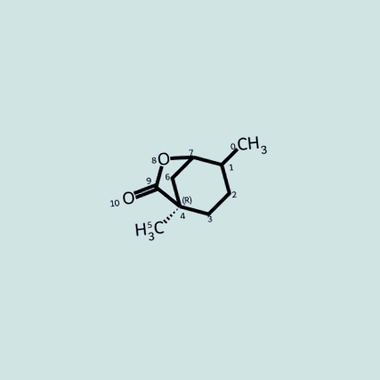 CC1CC[C@]2(C)CC1OC2=O